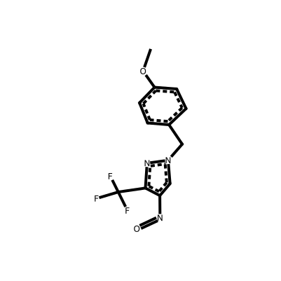 COc1ccc(Cn2cc(N=O)c(C(F)(F)F)n2)cc1